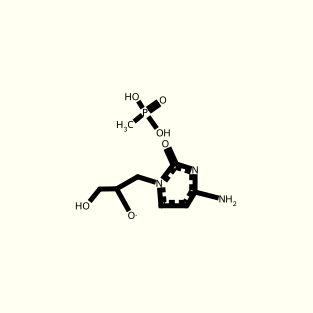 CP(=O)(O)O.Nc1ccn(CC([O])CO)c(=O)n1